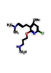 COc1cc(Cl)nc(OCCCNC(=O)O)c1C/C=C/N(C)C